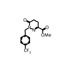 COC(=O)C1=NN(Cc2ccc(C(F)(F)F)cc2)C(=O)CC1